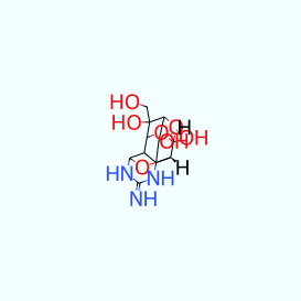 N=C1NC2O[C@@H]3C4(O)OC5C2C3(N1)[C@H](O)C(O4)C5(O)CO